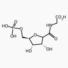 O=C(O)CNC(=O)C1O[C@H](COP(=O)(O)O)[C@@H](O)[C@H]1O